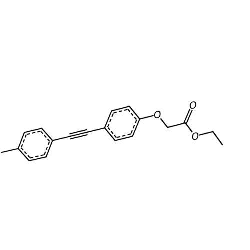 CCOC(=O)COc1ccc(C#Cc2ccc(C)cc2)cc1